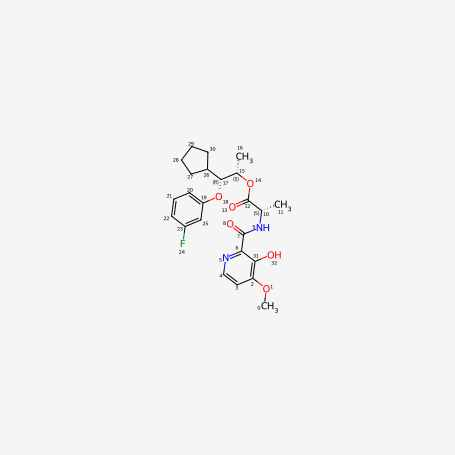 COc1ccnc(C(=O)N[C@@H](C)C(=O)O[C@@H](C)[C@H](Oc2cccc(F)c2)C2CCCC2)c1O